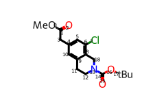 COC(=O)Cc1cc(Cl)c2c(c1)CCN(C(=O)OC(C)(C)C)C2